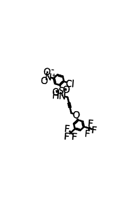 O=[N+]([O-])c1ccc(Cl)c(S(=O)(=O)NCC#CCOc2cc(C(F)(F)F)cc(C(F)(F)F)c2)c1